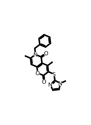 Cc1c(Sc2nccn2C)c(=O)oc2cc(C)n(Cc3ccccc3)c(=O)c12